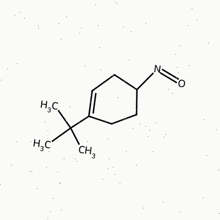 CC(C)(C)C1=CCC(N=O)CC1